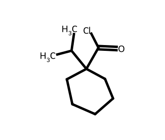 CC(C)C1(C(=O)Cl)CCCCC1